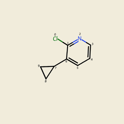 Clc1ncccc1C1CC1